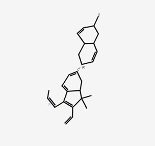 C=CC1=C(/C=C\C)C2=CC=C([C@H]3C=CC4CC(I)C=CC4C3)CC2C1(C)C